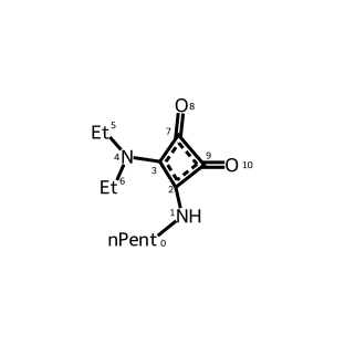 CCCCCNc1c(N(CC)CC)c(=O)c1=O